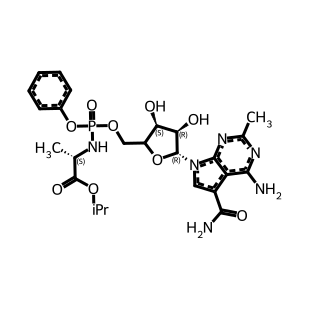 Cc1nc(N)c2c(C(N)=O)cn([C@@H]3OC(COP(=O)(N[C@@H](C)C(=O)OC(C)C)Oc4ccccc4)[C@@H](O)[C@H]3O)c2n1